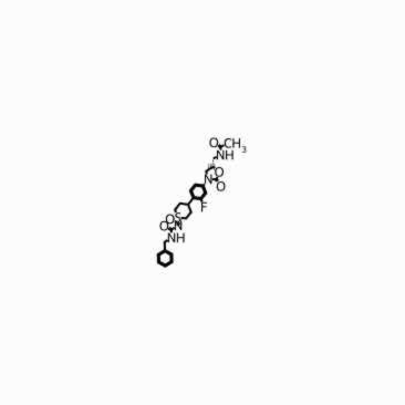 CC(=O)NC[C@H]1CN(c2ccc(C3CCS(=O)(=NC(=O)NCc4ccccc4)CC3)c(F)c2)C(=O)O1